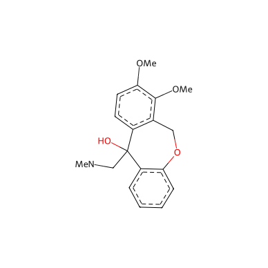 CNCC1(O)c2ccccc2OCc2c1ccc(OC)c2OC